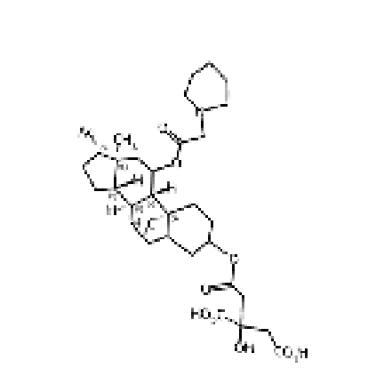 CC(=O)[C@H]1CC[C@H]2[C@@H]3CCC4CC(OC(=O)CC(O)(CC(=O)O)C(=O)O)CC[C@]4(C)[C@H]3C(OC(=O)CN3CCCCC3)C[C@]12C